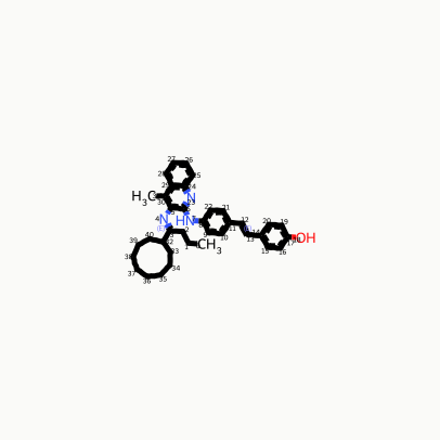 CCC/C(=N\c1c(Nc2ccc(/C=C/c3ccc(O)cc3)cc2)nc2ccccc2c1C)C1CCCCCCCC1